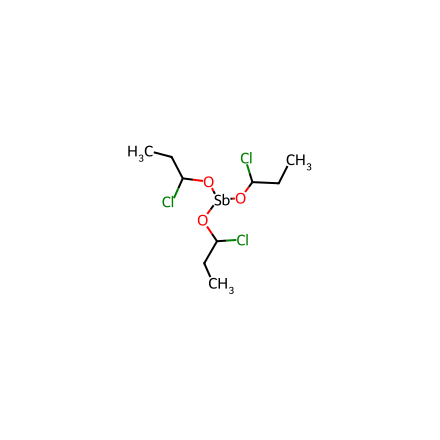 CCC(Cl)[O][Sb]([O]C(Cl)CC)[O]C(Cl)CC